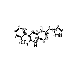 FC(F)(F)c1cccnc1C1=CNC2=[C]N=C(Cn3ccnc3)NC2=C1